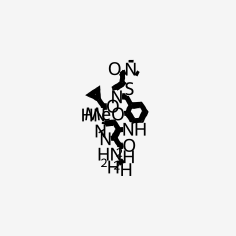 [2H]C([2H])([2H])NC(=O)c1nnc(NC(=O)C2CC2)cc1Nc1cccc(-c2ncc(C(=O)N(C)C)s2)c1OC